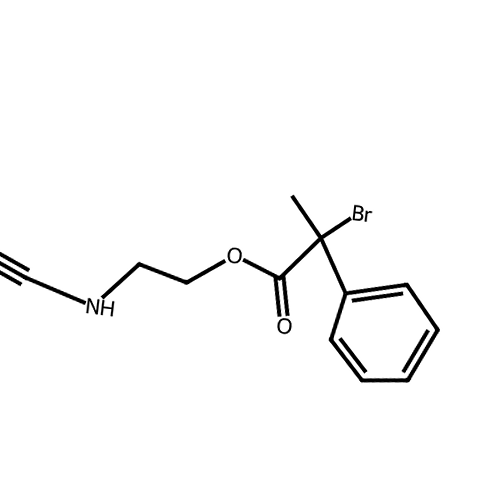 C#CNCCOC(=O)C(C)(Br)c1ccccc1